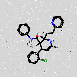 CC1=CC(c2ccccc2Cl)C(C(=O)O)(C(=O)Nc2ccccc2)C(C)(CCc2ccccn2)N1